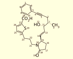 C[C@@H](CC#Cc1ccccc1)[C@@H](O)C=C[C@H]1CCC(=O)N1CCCc1ccc(C(=O)O)s1